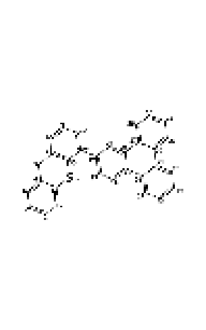 c1ccc2c(c1)Cc1cccc(-c3ccc4c5ccccc5c5ccccc5c4c3)c1S2